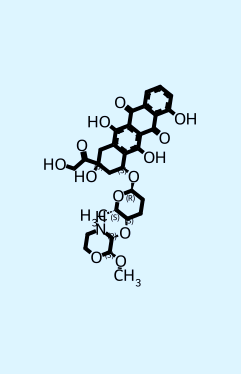 CO[C@H]1OCCN[C@@H]1O[C@H]1CC[C@H](O[C@H]2C[C@](O)(C(=O)CO)Cc3c(O)c4c(c(O)c32)C(=O)c2c(O)cccc2C4=O)O[C@H]1C